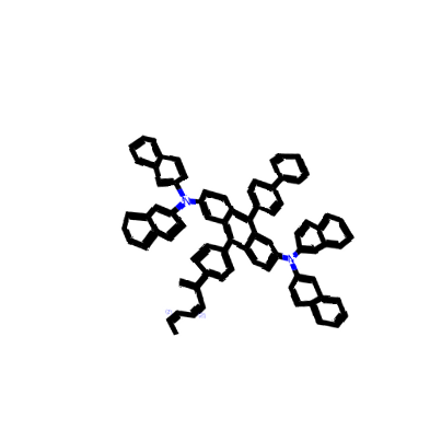 C=C(/C=C\C=C/C)c1ccc(-c2c3ccc(N(c4ccc5ccccc5c4)c4ccc5ccccc5c4)cc3c(-c3ccc(-c4ccccc4)cc3)c3ccc(N(c4ccc5ccccc5c4)c4ccc5ccccc5c4)cc23)cc1